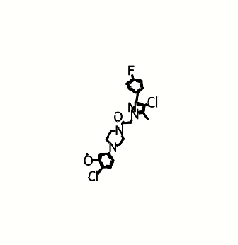 COc1cc(N2CCN(C(=O)Cn3nc(-c4ccc(F)cc4)c(Cl)c3C)CC2)ccc1Cl